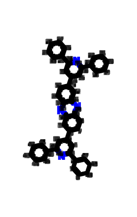 C1=CC(c2cc(-c3ccc4nc5cc(-c6cc(-c7ccccc7)nc(-c7ccccc7)c6)ccc5nc4c3)cc(-c3ccccc3)n2)=CCC1